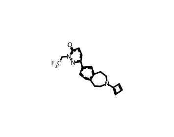 O=c1ccc(-c2ccc3c(c2)CCN(C2=CC=C2)CC3)nn1CC(F)(F)F